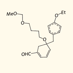 CCOc1ccc(CC2(OCCCCOCOC)C=CC=C(C=O)C2)cc1